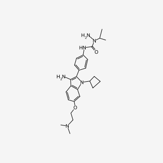 CC(C)N(N)C(=O)Nc1ccc(-c2c(N)c3ccc(OCCN(C)C)cc3n2C2CCC2)cc1